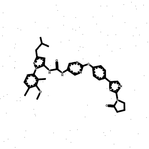 COc1c(C)ccc(-n2nc(CC(C)C)cc2NC(=O)Nc2cnc(Oc3ccc(-c4cnc(N5CCCC5=O)s4)cc3)nc2)c1C